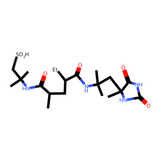 CCC(CC(C)C(=O)NC(C)(C)CS(=O)(=O)O)C(=O)NC(C)(C)CC1(C)NC(=O)NC1=O